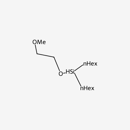 CCCCCC[SiH](CCCCCC)OCCOC